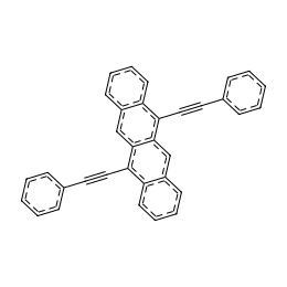 C(#Cc1c2ccccc2cc2c(C#Cc3ccccc3)c3ccccc3cc12)c1ccccc1